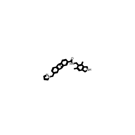 Cc1cc2c(c(C)c1CNC(=O)c1ccc3c(c1)c1oc3c3ccc(Cn4cccn4)cc31)CNC2